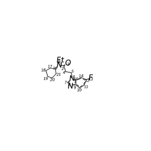 CCN(C(=O)CCn1cnc2ccc(F)cc21)C1CCCCC1